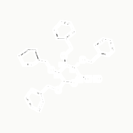 O=C[C@H]1OC(OCc2ccccc2)[C@@H](OCc2ccccc2)[C@@H](OCc2ccccc2)[C@@H]1OCc1ccccc1